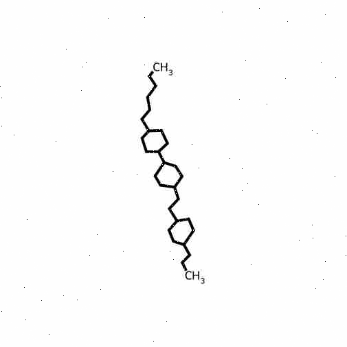 CCCCCCC1CCC(C2CCC(CCC3CCC(CCC)CC3)CC2)CC1